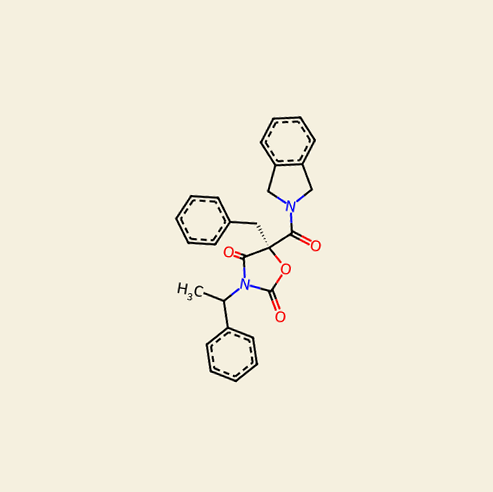 CC(c1ccccc1)N1C(=O)O[C@](Cc2ccccc2)(C(=O)N2Cc3ccccc3C2)C1=O